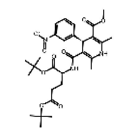 COC(=O)C1=C(C)NC(C)=C(C(=O)N[C@@H](CCC(=O)OC(C)(C)C)C(=O)OC(C)(C)C)[C@H]1c1cccc([N+](=O)[O-])c1